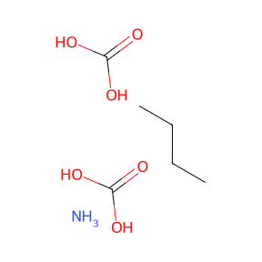 CCCC.N.O=C(O)O.O=C(O)O